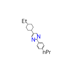 CCCc1ccc(-c2ncc(C3CCC(CC)CC3)cn2)cc1